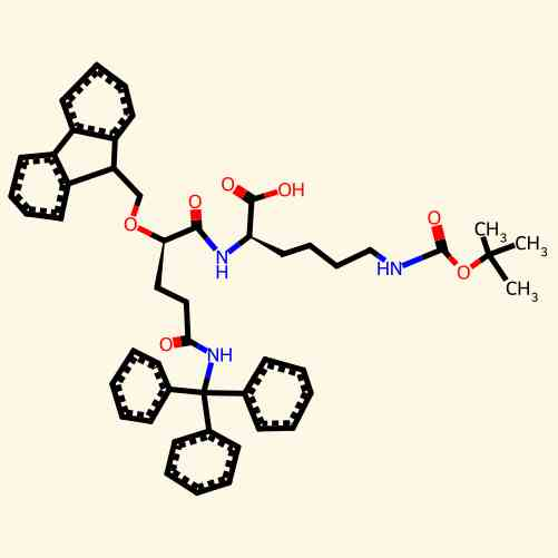 CC(C)(C)OC(=O)NCCCC[C@@H](NC(=O)[C@@H](CCC(=O)NC(c1ccccc1)(c1ccccc1)c1ccccc1)OCC1c2ccccc2-c2ccccc21)C(=O)O